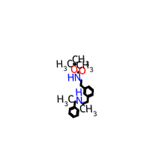 CC(Cc1cccc(CCNC(=O)OC(C)(C)C)c1)NC(C)c1ccccc1